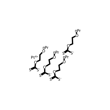 CCCOCCOC(=S)[S-].CCCOCCOC(=S)[S-].CCCOCCOC(=S)[S-].CCCOCCOC(=S)[S-].[Pt+4]